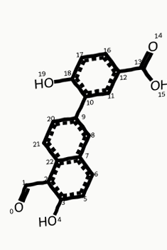 O=Cc1c(O)ccc2cc(-c3cc(C(=O)O)ccc3O)ccc12